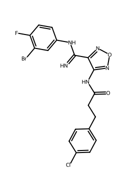 N=C(Nc1ccc(F)c(Br)c1)c1nonc1NC(=O)CCc1ccc(Cl)cc1